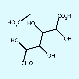 CC(=O)O.O=CC(O)C(O)C(O)C(O)C(=O)O